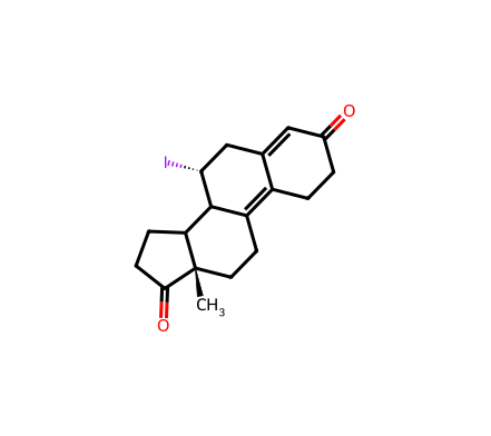 C[C@]12CCC3=C4CCC(=O)C=C4C[C@@H](I)C3C1CCC2=O